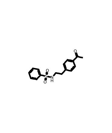 CC(=O)c1ccc(CCNS(=O)(=O)c2ccccc2)cc1